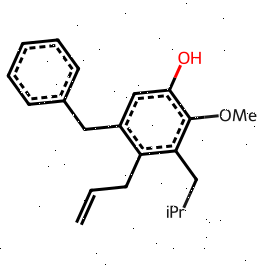 C=CCc1c(Cc2ccccc2)cc(O)c(OC)c1CC(C)C